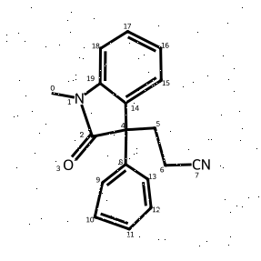 CN1C(=O)C(CCC#N)(c2ccccc2)c2ccccc21